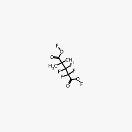 CC(C)(C(=O)OF)C(F)(F)C(F)(F)C(=O)OF